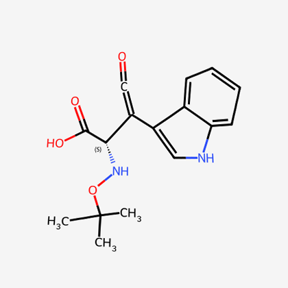 CC(C)(C)ON[C@H](C(=O)O)C(=C=O)c1c[nH]c2ccccc12